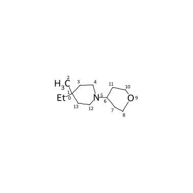 CCC1(C)CCN(C2CCOCC2)CC1